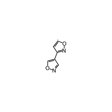 [c]1cc(-c2cnoc2)no1